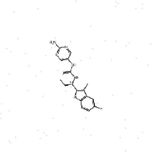 CC[C@@H](NC(=O)Nc1cnc(N)nc1)c1oc2ccc(F)cc2c1C